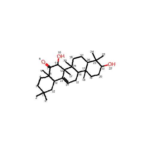 CC1(C)CCC2(C)C(=O)C(O)C3(C)C(=CCC4C5(C)CCC(O)C(C)(C)C5CCC43C)C2C1